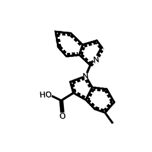 Cc1ccc2c(c1)c(C(=O)O)cn2-c1nccc2ccccc12